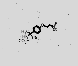 CCN(CC)CCOc1ccc([C@@](C)(NC(=O)O)C(C)(C)C)cc1